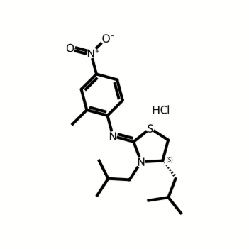 Cc1cc([N+](=O)[O-])ccc1N=C1SC[C@H](CC(C)C)N1CC(C)C.Cl